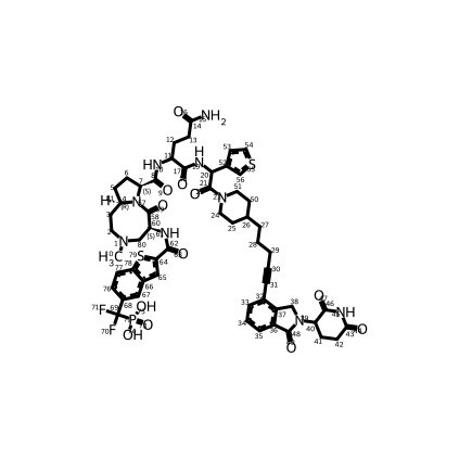 CN1CC[C@H]2CC[C@@H](C(=O)NC(CCC(N)=O)C(=O)NC(C(=O)N3CCC(CCCC#Cc4cccc5c4CN(C4CCC(=O)NC4=O)C5=O)CC3)c3ccsc3)N2C(=O)[C@@H](NC(=O)c2cc3cc(C(F)(F)P(=O)(O)O)ccc3s2)C1